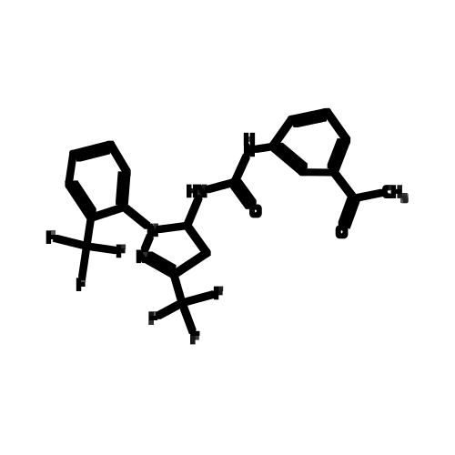 CC(=O)c1cccc(NC(=O)NC2CC(C(F)(F)F)=NN2c2ccccc2C(F)(F)F)c1